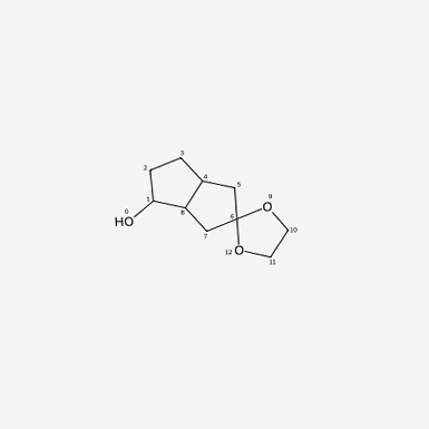 OC1CCC2CC3(CC12)OCCO3